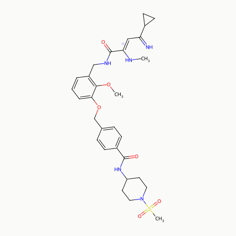 CN/C(=C\C(=N)C1CC1)C(=O)NCc1cccc(OCc2ccc(C(=O)NC3CCN(S(C)(=O)=O)CC3)cc2)c1OC